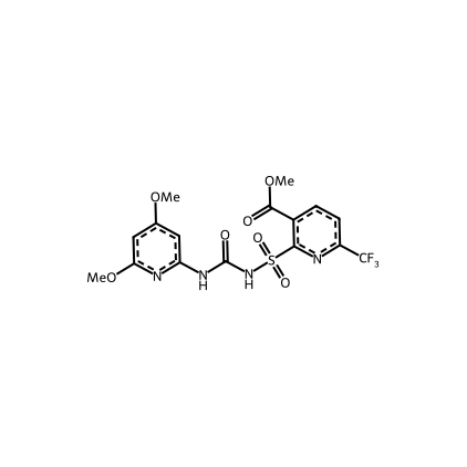 COC(=O)c1ccc(C(F)(F)F)nc1S(=O)(=O)NC(=O)Nc1cc(OC)cc(OC)n1